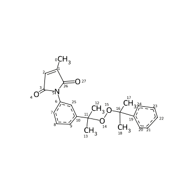 CC1=CC(=O)N(c2cccc(C(C)(C)OOC(C)(C)c3ccccc3)c2)C1=O